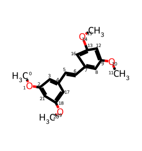 COc1cc(C=Cc2cc(OC)cc(OC)c2)cc(OC)c1